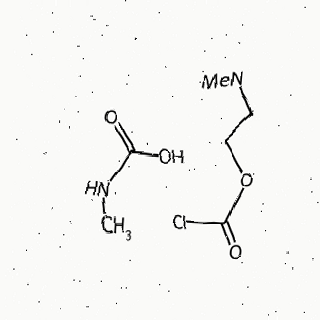 CNC(=O)O.CNCCOC(=O)Cl